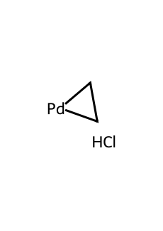 Cl.[CH2]1[CH2][Pd]1